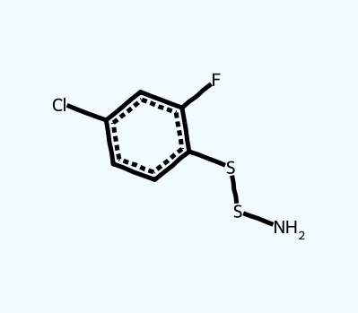 NSSc1ccc(Cl)cc1F